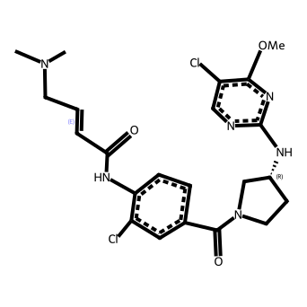 COc1nc(N[C@@H]2CCN(C(=O)c3ccc(NC(=O)/C=C/CN(C)C)c(Cl)c3)C2)ncc1Cl